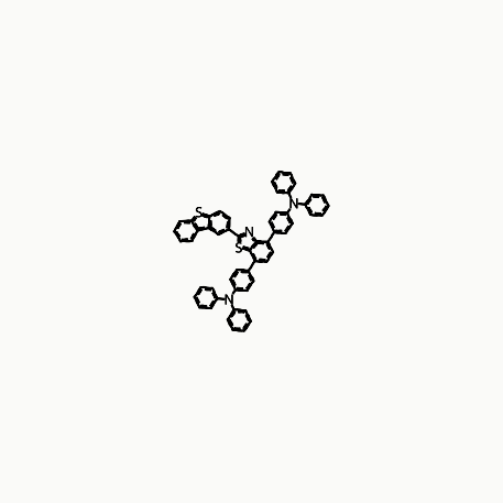 c1ccc(N(c2ccccc2)c2ccc(-c3ccc(-c4ccc(N(c5ccccc5)c5ccccc5)cc4)c4sc(-c5ccc6sc7ccccc7c6c5)nc34)cc2)cc1